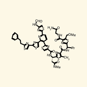 CNC(=O)C[C@H](NC(=O)c1csc(-c2ccc(-c3nc(NC=O)cs3)nc2-c2csc(-c3csc(CCc4ccccc4)n3)n2)n1)c1nc(C(=O)NC(c2nc(C(=O)NCC(N)=O)c(COC)s2)C(C)C)c(C)s1